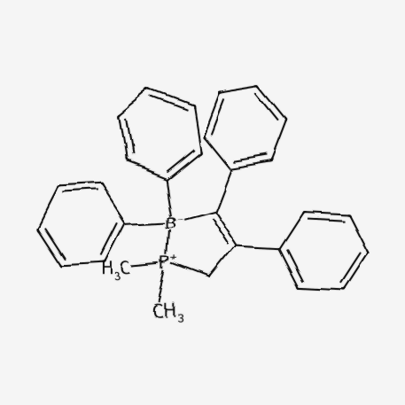 C[P+]1(C)CC(c2ccccc2)=C(c2ccccc2)[B-]1(c1ccccc1)c1ccccc1